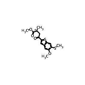 COC(=O)[C@@H](C)CC(=O)c1cc2cc(OC)c(SC)cc2s1